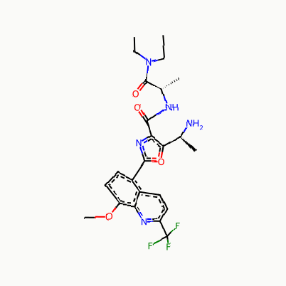 CCN(CC)C(=O)[C@H](C)NC(=O)c1nc(-c2ccc(OC)c3nc(C(F)(F)F)ccc23)oc1[C@H](C)N